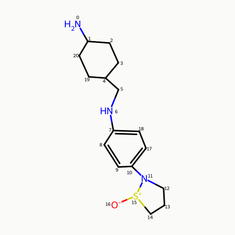 NC1CCC(CNc2ccc(N3CCC[S+]3[O-])cc2)CC1